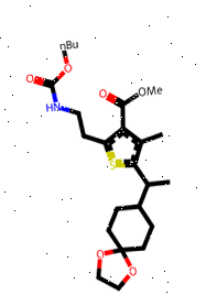 CCCCOC(=O)NCCc1sc(C(C)C2CCC3(CC2)OCCO3)c(C)c1C(=O)OC